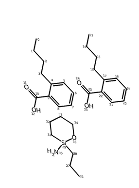 CCCCc1ccccc1C(=O)O.CCCCc1ccccc1C(=O)O.CCC[Si]1(N)CCCCO1